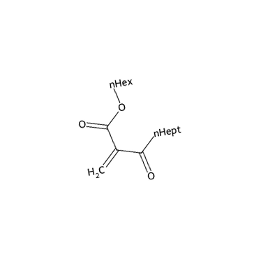 C=C(C(=O)CCCCCCC)C(=O)OCCCCCC